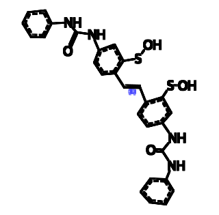 O=C(Nc1ccccc1)Nc1ccc(/C=C/c2ccc(NC(=O)Nc3ccccc3)cc2SO)c(SO)c1